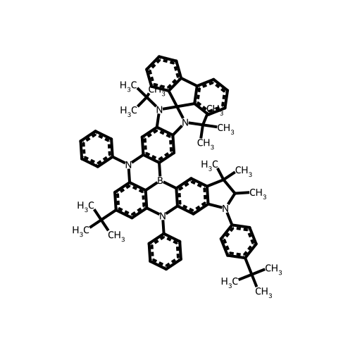 CC1N(c2ccc(C(C)(C)C)cc2)c2cc3c(cc2C1(C)C)B1c2cc4c(cc2N(c2ccccc2)c2cc(C(C)(C)C)cc(c21)N3c1ccccc1)N(C(C)(C)C)C1(c2ccccc2-c2ccccc21)N4C(C)(C)C